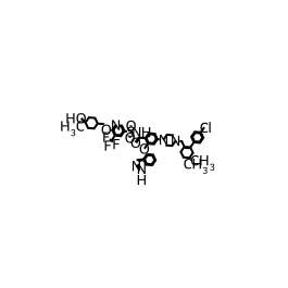 CC1(C)CCC(CN2CCN(c3ccc(C(=O)NS(=O)(=O)c4cnc(OCC5CCC(C)(O)CC5)c(C(F)(F)F)c4)c(Oc4cccc5[nH]ncc45)c3)CC2)=C(c2ccc(Cl)cc2)C1